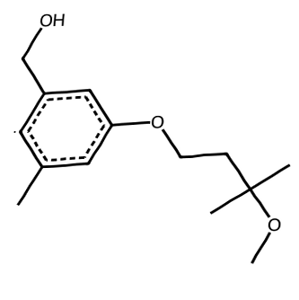 COC(C)(C)CCOc1cc(C)[c]c(CO)c1